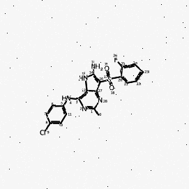 Cc1nc(Nc2ccc(Cl)cc2)c2[nH]c(N)c(S(=O)(=O)c3ccccc3F)c2n1